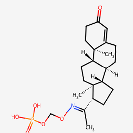 CC(=NOCOP(=O)(O)O)[C@H]1CC[C@H]2[C@@H]3CCC4=CC(=O)CC[C@]4(C)[C@H]3CC[C@]12C